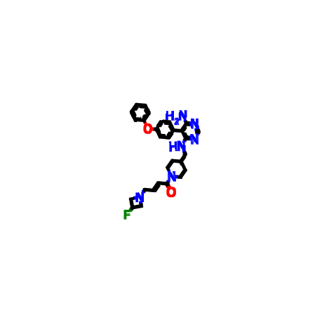 Nc1ncnc(NCC2CCN(C(=O)C=CCN3CC(F)C3)CC2)c1-c1ccc(Oc2ccccc2)cc1